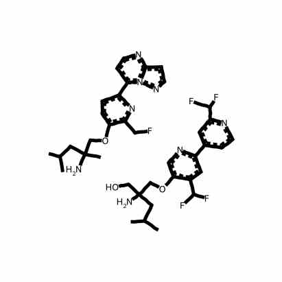 CC(C)CC(C)(N)COc1ccc(-c2ccnc3ccnn23)nc1CF.CC(C)CC(N)(CO)COc1cnc(-c2ccnc(C(F)F)c2)cc1C(F)F